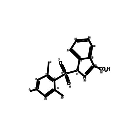 Cc1cc(C)c(S(=O)(=O)n2nc(C(=O)O)c3ccccc32)c(C)c1